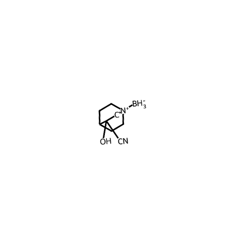 [BH3-][N+]12CCC(CC1)C(O)(C#N)C2